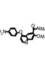 CNC(=O)c1cc2c(Oc3ccc([N+](=O)[O-])cc3)ccnc2cc1OC